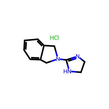 Cl.c1ccc2c(c1)CN(C1=NCCN1)C2